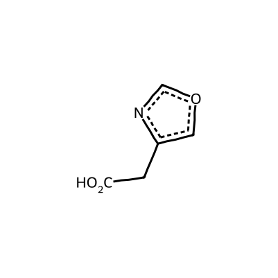 O=C(O)Cc1cocn1